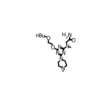 CCCCOCCOc1nc(N(C)CC(N)=O)nc(N2CCN(C)CC2)n1